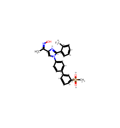 C/C(=N/O)c1cn(-c2ccc(-c3cccc(S(C)(=O)=O)c3)cc2)c(-c2ccccc2C(F)(F)F)n1